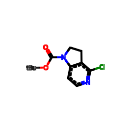 CC(C)(C)OC(=O)N1CCc2c1ccnc2Cl